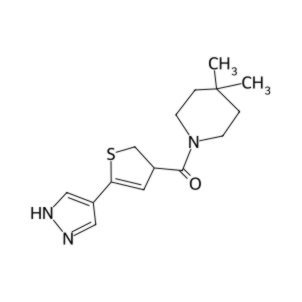 CC1(C)CCN(C(=O)C2C=C(c3cn[nH]c3)SC2)CC1